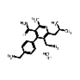 Cc1nc(CC(C)C)c(CN)c(-c2ccc(CN)cc2)c1C(N)=O.Cl.Cl